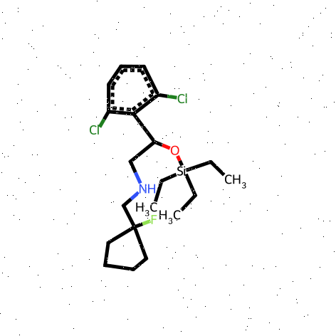 CC[Si](CC)(CC)OC(CNCC1(F)CCCC1)c1c(Cl)cccc1Cl